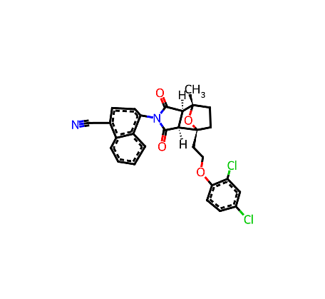 C[C@@]12CC[C@@](CCOc3ccc(Cl)cc3Cl)(O1)[C@H]1C(=O)N(c3ccc(C#N)c4ccccc34)C(=O)[C@H]12